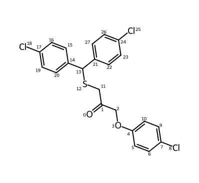 O=C(COc1ccc(Cl)cc1)CSC(c1ccc(Cl)cc1)c1ccc(Cl)cc1